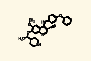 COc1cc2c(Nc3ccc(Oc4cccnc4)cc3)c(C#N)cnc2cc1OC(C)C1CCNCC1